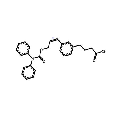 O=C(O)CCCc1cccc(/C=C\COC(=O)N(c2ccccc2)c2ccccc2)c1